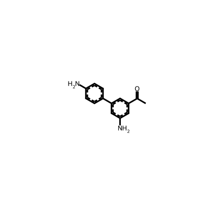 CC(=O)c1cc(N)cc(-c2ccc(N)cc2)c1